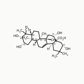 CC1(C)C[C@H]2C3=CC[C@@H]4[C@@]5(C)C[C@H](O)[C@H](O)C(C)(C)[C@@H]5CC[C@@]4(C)[C@]3(C)C[C@H](O)[C@@]2(C(=O)O)C[C@@H]1O